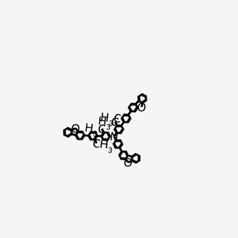 Cc1cc(-c2ccc3c(c2)oc2ccccc23)ccc1-c1ccc(N(c2ccc(-c3ccc4oc5ccccc5c4c3)cc2)c2ccc(-c3ccc(-c4ccc5c(c4)oc4ccccc45)cc3C)c(C)c2)cc1C